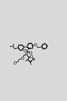 COCCOCN(c1onc(C)c1C)S(=O)(=O)c1cc(OCc2ccccc2)ccc1-c1ccc(CC(C)C)cc1